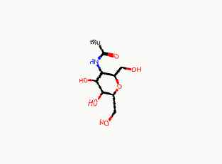 CC(C)(C)C(=O)NC1C(CO)OC(CO)C(O)C1O